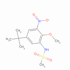 COc1c(NS(C)(=O)=O)cc(C(C)(C)C)cc1[N+](=O)[O-]